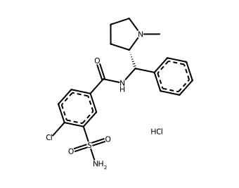 CN1CCC[C@H]1C(NC(=O)c1ccc(Cl)c(S(N)(=O)=O)c1)c1ccccc1.Cl